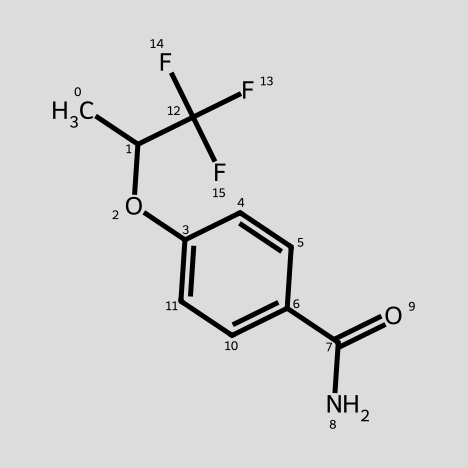 CC(Oc1ccc(C(N)=O)cc1)C(F)(F)F